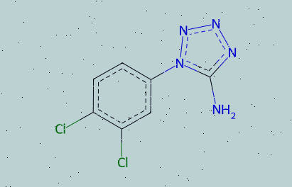 Nc1nnnn1-c1ccc(Cl)c(Cl)c1